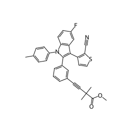 COC(=O)C(C)(C)C#Cc1cccc(-c2c(-c3ccsc3C#N)c3cc(F)ccc3n2-c2ccc(C)cc2)c1